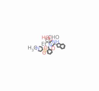 CCC(CC)[C@@H]1C(=O)N[C@H](C2Cc3ccccc3C2)C(=O)N1Cc1ccccc1S(=O)(=O)C1CCN(C)CC1.O=CO